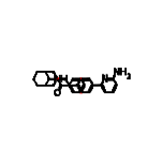 Nc1cccc(-c2ccc(CCN3CC4CCCC(C3)C4NC(=O)c3ccccc3)cc2)n1